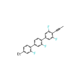 CC#Cc1c(F)cc(-c2ccc(-c3ccc(CC)cc3F)cc2F)cc1F